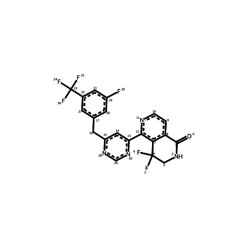 O=C1NCC(F)(F)c2c1ccnc2-c1cc(Cc2cc(F)cc(C(F)(F)F)c2)ncn1